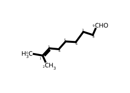 CC(C)=CCCCCCC=O